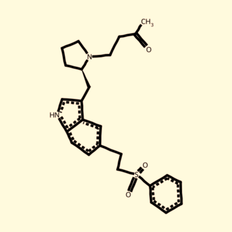 CC(=O)CCN1CCC[C@@H]1Cc1c[nH]c2ccc(CCS(=O)(=O)c3ccccc3)cc12